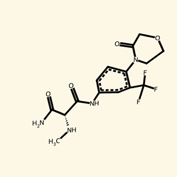 CN[C@H](C(N)=O)C(=O)Nc1ccc(N2CCOCC2=O)c(C(F)(F)F)c1